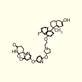 C[C@]1(c2ccc(OCCN3CC[C@@H](Oc4ccc(Oc5cnn(C6CCC(=O)NC6=O)c(=O)c5)cn4)C3)cc2)C2=CC=C(O)CC2CC[C@H]1c1ccc(F)cc1